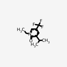 CCn1cc(C(F)(F)F)cc(C(C)C)c1=O